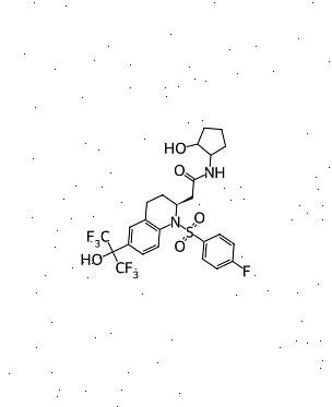 O=C(C[C@@H]1CCc2cc(C(O)(C(F)(F)F)C(F)(F)F)ccc2N1S(=O)(=O)c1ccc(F)cc1)NC1CCCC1O